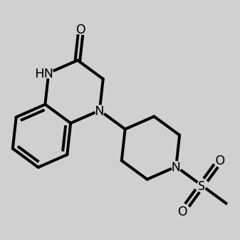 CS(=O)(=O)N1CCC(N2CC(=O)Nc3ccccc32)CC1